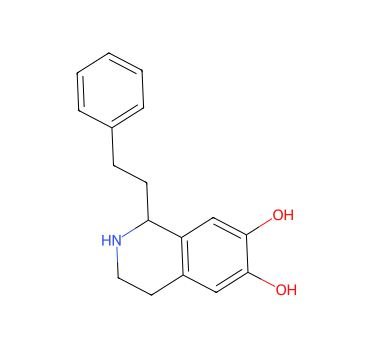 Oc1cc2c(cc1O)C(CCc1ccccc1)NCC2